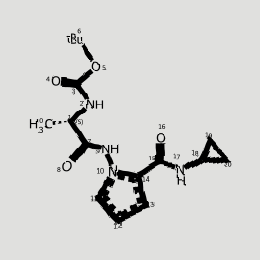 C[C@H](NC(=O)OC(C)(C)C)C(=O)Nn1cccc1C(=O)NC1CC1